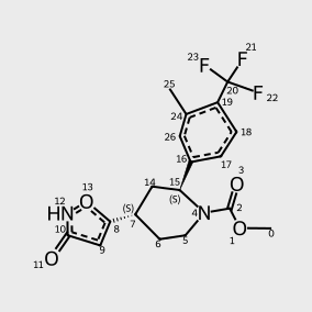 COC(=O)N1CC[C@H](c2cc(=O)[nH]o2)C[C@H]1c1ccc(C(F)(F)F)c(C)c1